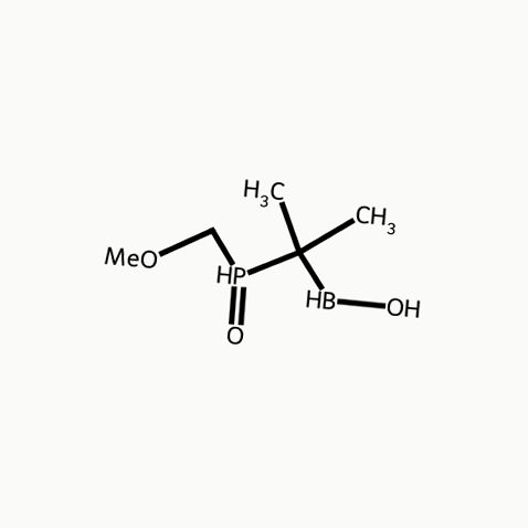 COC[PH](=O)C(C)(C)BO